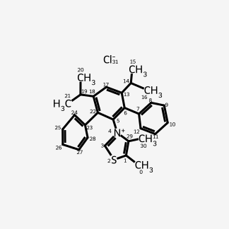 Cc1sc[n+](-c2c(-c3ccccc3)c(C(C)C)cc(C(C)C)c2-c2ccccc2)c1C.[Cl-]